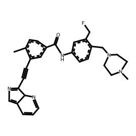 Cc1ccc(C(=O)Nc2ccc(CN3CCN(C)CC3)c(CF)c2)cc1C#CC1=NC=C2C=CC=NC21